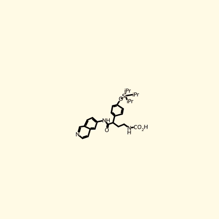 CC(C)[Si](Oc1ccc(C(CCNC(=O)O)C(=O)Nc2ccc3cnccc3c2)cc1)(C(C)C)C(C)C